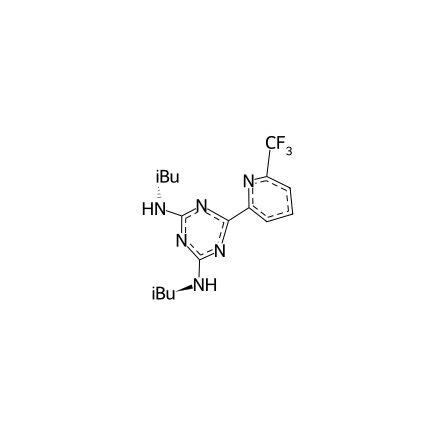 CC[C@H](C)Nc1nc(N[C@@H](C)CC)nc(-c2cccc(C(F)(F)F)n2)n1